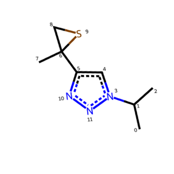 CC(C)n1cc(C2(C)CS2)nn1